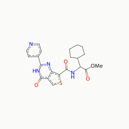 COC(=O)C(NC(=O)c1scc2c(=O)[nH]c(-c3ccncc3)nc12)C1CCCCC1